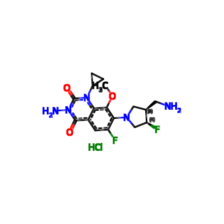 COc1c(N2C[C@@H](CN)[C@@H](F)C2)c(F)cc2c(=O)n(N)c(=O)n(C3CC3)c12.Cl